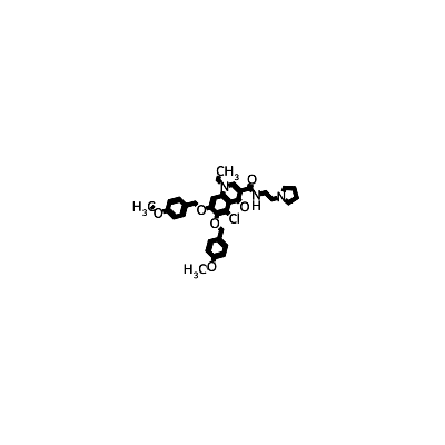 CCn1cc(C(=O)NCCN2CCCC2)c(=O)c2c(Cl)c(OCc3ccc(OC)cc3)c(OCc3ccc(OC)cc3)cc21